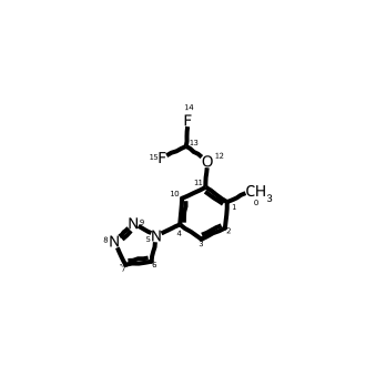 Cc1ccc(-n2c[c]nn2)cc1OC(F)F